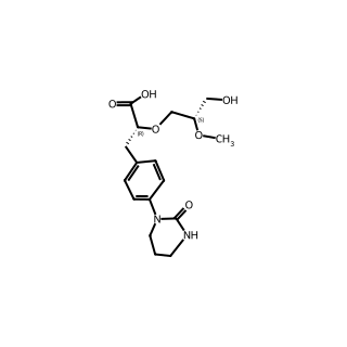 CO[C@@H](CO)CO[C@H](Cc1ccc(N2CCCNC2=O)cc1)C(=O)O